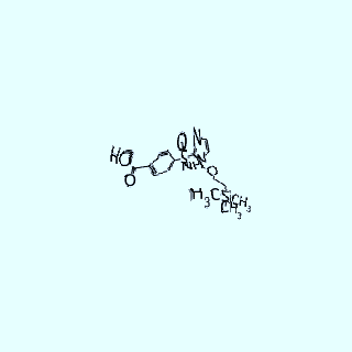 C[Si](C)(C)CCOCn1ccnc1S(=N)(=O)c1ccc(C(=O)O)cc1